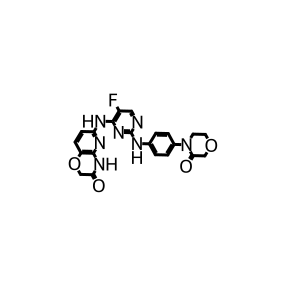 O=C1COc2ccc(Nc3nc(Nc4ccc(N5CCOCC5=O)cc4)ncc3F)nc2N1